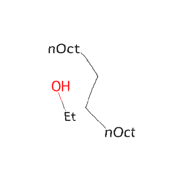 CCO.[CH2]CCCCCCCCCCCCCCCCC